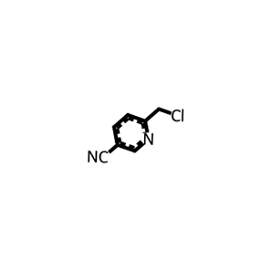 N#Cc1ccc(CCl)nc1